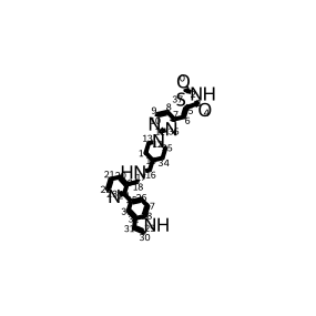 O=C1NC(=O)/C(=C/c2ccnc(N3CCC(CNCc4cccnc4-c4ccc5[nH]ccc5c4)CC3)n2)S1